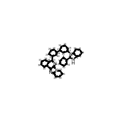 c1ccc(C2Nc3ccccc3N2c2cccc(-c3cccc(-c4nc5c(nc6ccccn65)c5ccccc45)c3)c2)cc1